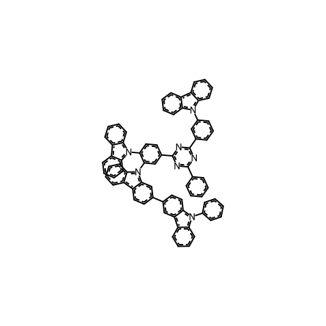 c1ccc(-c2nc(-c3cccc(-n4c5ccccc5c5ccccc54)c3)nc(-c3ccc(-n4c5ccccc5c5ccccc54)c(-n4c5ccccc5c5ccc(-c6ccc7c(c6)c6ccccc6n7-c6ccccc6)cc54)c3)n2)cc1